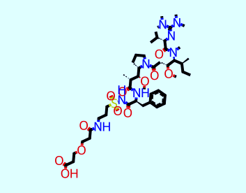 CC[C@H](C)[C@@H]([C@@H](CC(=O)N1CCC[C@H]1[C@H](OC)[C@@H](C)C(=O)N[C@@H](Cc1ccccc1)C(=O)NS(=O)(=O)CCCNC(=O)CCOCCC(=O)O)OC)N(C)C(=O)[C@@H](N=C(N(C)C)N(C)C)C(C)C